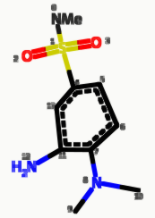 CNS(=O)(=O)c1ccc(N(C)C)c(N)c1